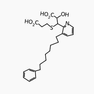 O=C(O)CCSC(c1ncccc1CCCCCCCCc1ccccc1)C(O)C(=O)O